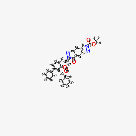 CC(C)(C)OC(=O)NC[C@H]1CC[C@H](C(=O)N[C@H](COOCc2ccccc2)Cc2ccc(-c3ccccc3)cc2)CC1